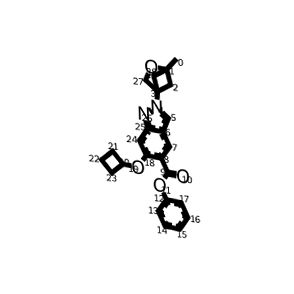 CC12CC(n3cc4cc(C(=O)Oc5ccccc5)c(OC5CCC5)cc4n3)(CO1)C2